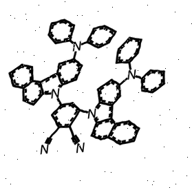 N#Cc1cc(-n2c3ccc(N(c4ccccc4)c4ccccc4)cc3c3c4ccccc4ccc32)cc(-n2c3ccc(N(c4ccccc4)c4ccccc4)cc3c3c4ccccc4ccc32)c1C#N